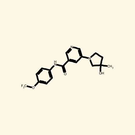 CC1(O)CCN(c2cncc(C(=O)Nc3ccc(OC(F)(F)F)cc3)c2)C1